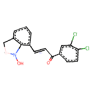 O=C(/C=C/c1cccc2c1N(O)[B]C2)c1ccc(Cl)c(Cl)c1